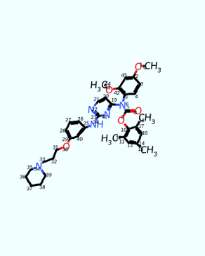 COc1ccc(N(C(=O)Oc2c(C)cc(C)cc2C)c2ccnc(Nc3cccc(OCCCN4CCCCC4)c3)n2)c(OC)c1